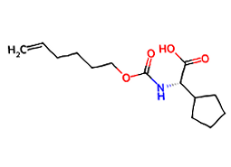 C=CCCCCOC(=O)N[C@H](C(=O)O)C1CCCC1